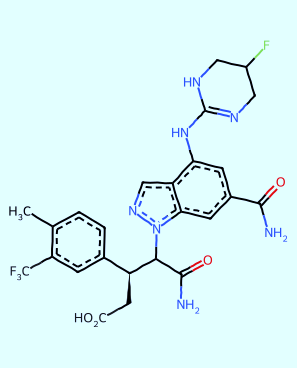 Cc1ccc([C@H](CC(=O)O)C(C(N)=O)n2ncc3c(NC4=NCC(F)CN4)cc(C(N)=O)cc32)cc1C(F)(F)F